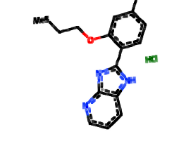 CSCCOc1cc(C)ccc1-c1nc2ncccc2[nH]1.Cl